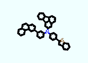 c1cc(-c2ccc3ccc4ccccc4c3c2)cc(N(c2ccc(-c3cc4ccccc4s3)cc2)c2cc3c4c(cccc4c2)-c2ccccc2-3)c1